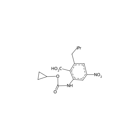 CC(C)Cc1cc([N+](=O)[O-])cc(NC(=O)OC2CC2)c1C(=O)O